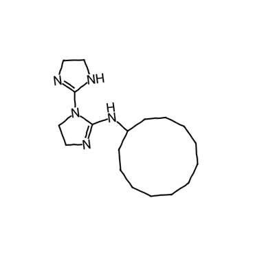 C1CCCCCC(NC2=NCCN2C2=NCCN2)CCCCC1